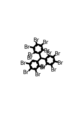 Brc1c(Br)c(Br)c([C](c2c(Br)c(Br)c(Br)c(Br)c2Br)c2c(Br)c(Br)c(Br)c(Br)c2Br)c(Br)c1Br